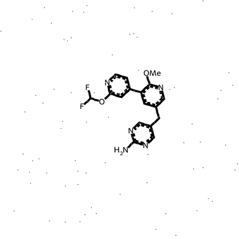 COc1ncc(Cc2cnc(N)nc2)cc1-c1ccnc(OC(F)F)c1